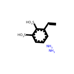 C=Cc1cccc(S(=O)(=O)O)c1S(=O)(=O)O.N.N